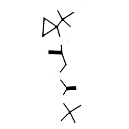 CC(C)(C)OC(=O)NCC(=O)NC1(C(F)(F)F)CC1